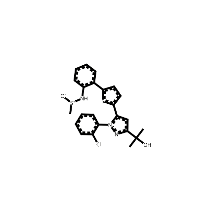 C[S+]([O-])Nc1ccccc1-c1ccc(-c2cc(C(C)(C)O)nn2-c2ccccc2Cl)s1